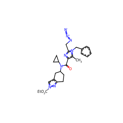 CCOC(=O)n1cc2c(n1)CCC(N(C(=O)c1nc(CN=[N+]=[N-])n(Cc3ccccc3)c1C)C1CC1)C2